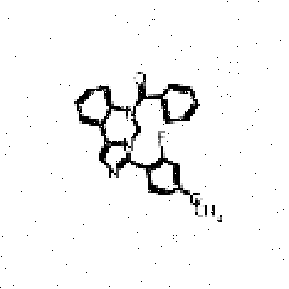 COc1ccc(-c2ncc3n2CN(C(=O)c2ccccc2)c2ccccc2-3)c(F)c1